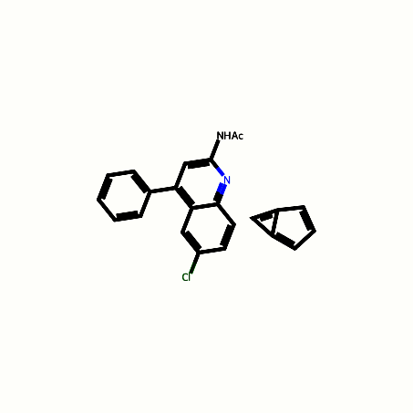 CC(=O)Nc1cc(-c2ccccc2)c2cc(Cl)ccc2n1.c1cc2cc-2c1